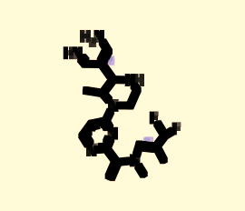 C=C(c1nccc(N2CCNC(/C(C=N)=C/N)C2C)n1)N(C)/C=C(\C)C(F)F